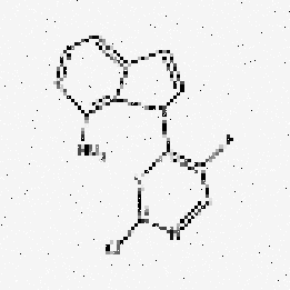 O=[N+]([O-])c1cccc2ccn(-c3nc(Cl)ncc3F)c12